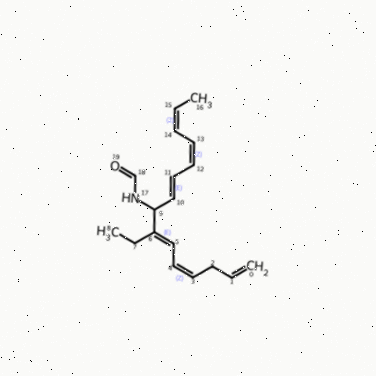 C=CC/C=C\C=C(/CC)C(/C=C/C=C\C=C/C)NC=O